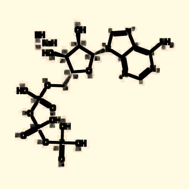 Nc1ncnc2c1ncn2[C@@H]1O[C@H](COP(=O)(O)OP(=O)(O)OP(=O)(O)O)[C@@H](O)[C@H]1O.[KH].[NaH]